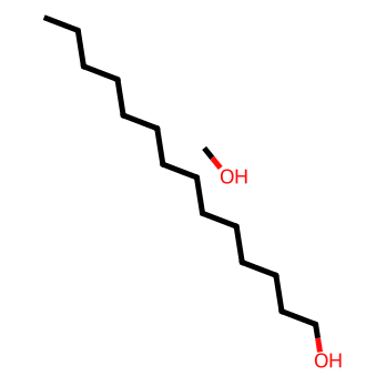 CCCCCCCCCCCCCCO.CO